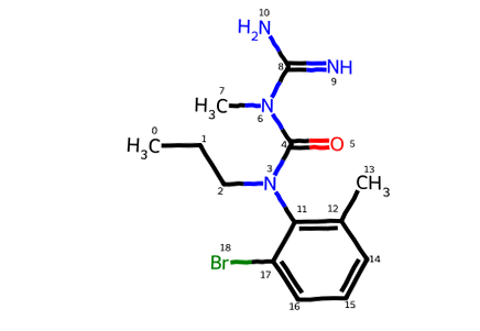 CCCN(C(=O)N(C)C(=N)N)c1c(C)cccc1Br